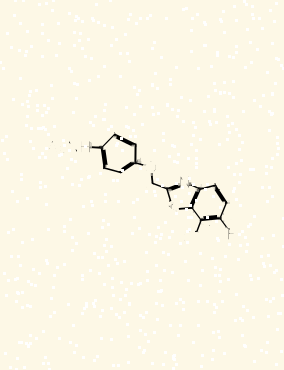 CC(=O)Nc1ccc(OCc2nc3ccc(F)c(Cl)c3s2)cc1